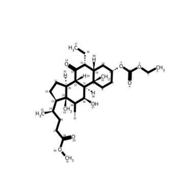 CCOC(=O)O[C@@H]1CC[C@]2(C)[C@@H]3[C@@H](C(=O)[C@H](CC)[C@@H]2C1)[C@@H]1CC[C@H]([C@H](C)CCC(=O)OC)[C@@]1(C)C(I)[C@@H]3O